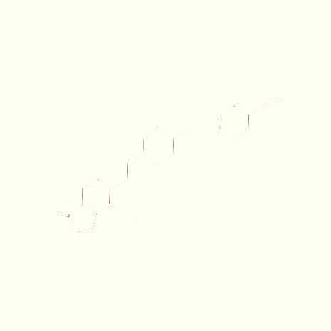 Cc1c([C@@H](O)CN2CCC(CSc3ccc(C#N)cn3)CC2)ccc2c1COC2=O